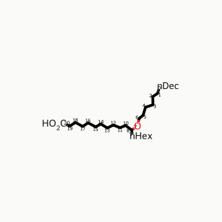 CCCCCCCCCCCCCCCCOC(CCCCCC)CCCCCCCCCCC(=O)O